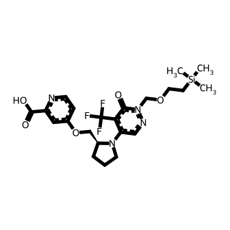 C[Si](C)(C)CCOCn1ncc(N2CCC[C@H]2COc2ccnc(C(=O)O)c2)c(C(F)(F)F)c1=O